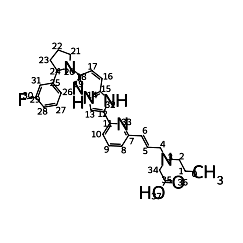 CCCN(C/C=C/c1cccc(-c2cnc(/C=C\C(=N)N3CCCC3c3cccc(F)c3)[nH]2)n1)CC(=O)O